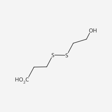 O=C(O)CCSSCCO